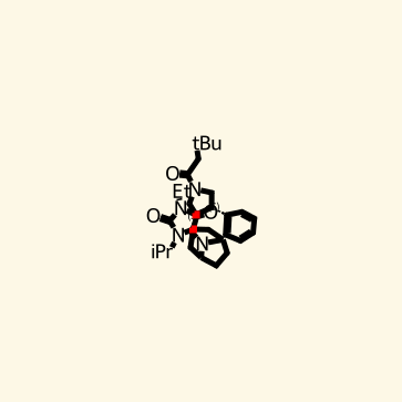 CCN1C(=O)N(C(C)C)C2(CC3CCC(C2)N3C[C@H]2CN(C(=O)CC(C)(C)C)C[C@@H]2c2ccccc2)C1=O